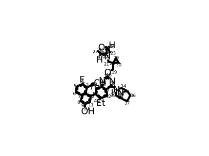 C#Cc1c(F)ccc2cc(O)cc(-c3cc4nc(OCC5(CN6C[C@@H]7C[C@H]6CO7)CC5)nc(N5CC6CCC(C5)N6)c4cc3CC)c12